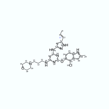 C/C=C/c1cc(Nc2cc(NCCCN3CCOCC3)nc(Oc3ccc4[nH]c(C)cc4c3Cl)n2)n[nH]1